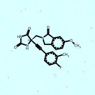 COc1ccc2c(c1)C(=O)N(C[C@@]1(C#Cc3ccc(F)c(C)c3)NC(=O)NC1=O)C2